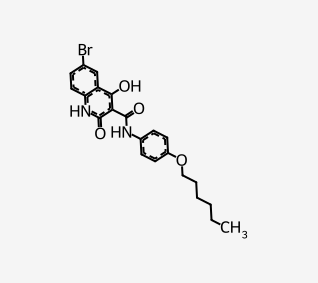 CCCCCCOc1ccc(NC(=O)c2c(O)c3cc(Br)ccc3[nH]c2=O)cc1